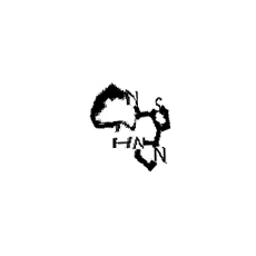 c1cnc(-c2sccc2C2=NCCN2)nc1